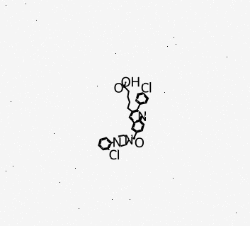 O=C(O)CCCCc1cc2cc(C(=O)N3CCN(c4ccccc4Cl)CC3)ccc2nc1-c1ccc(Cl)cc1